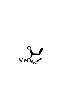 C=CC(=O)OC.CC(C)=O